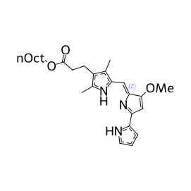 CCCCCCCCOC(=O)CCc1c(C)[nH]c(/C=C2\N=C(c3ccc[nH]3)C=C2OC)c1C